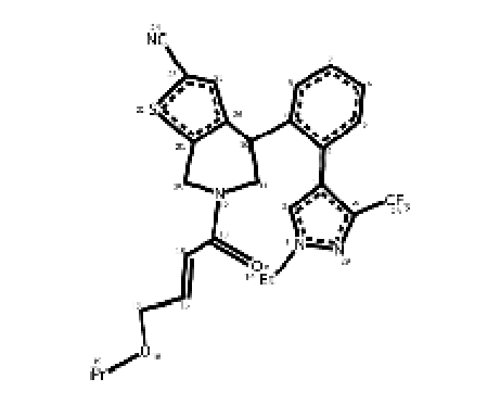 CCn1cc(-c2ccccc2C2CN(C(=O)/C=C/COC(C)C)Cc3sc(C#N)cc32)c(C(F)(F)F)n1